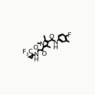 Cc1cc(NC(=O)c2c(C)c(C(=O)C(=O)NC3(C(F)(F)F)CC3)n(C)c2C)ccc1F